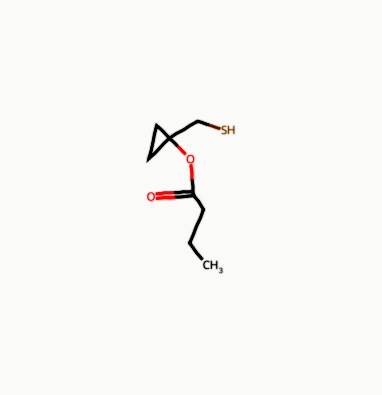 CCCC(=O)OC1(CS)CC1